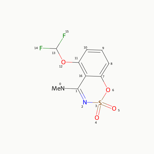 CNC1=NS(=O)(=O)Oc2cccc(OC(F)F)c21